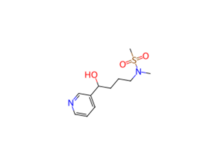 CN(CCCC(O)c1cccnc1)S(C)(=O)=O